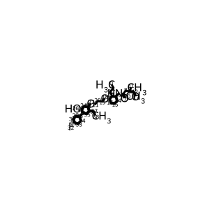 CCCc1c(NC(=O)CC(C)(C)C=O)cccc1OCCCOc1cc(O)c(-c2ccc(F)cc2)cc1CC